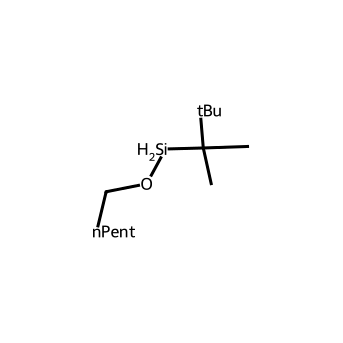 [CH2]CCCCCO[SiH2]C(C)(C)C(C)(C)C